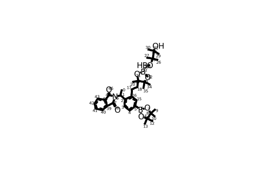 CC(c1ccc(B2OC(C)(C)C(C)(C)O2)cc1CCC1(C)OB(BOC(C)(C)C(C)(C)O)OC1(C)C)N1C(=O)c2ccccc2C1=O